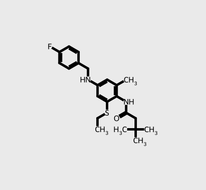 CCSc1cc(NCc2ccc(F)cc2)cc(C)c1NC(=O)CC(C)(C)C